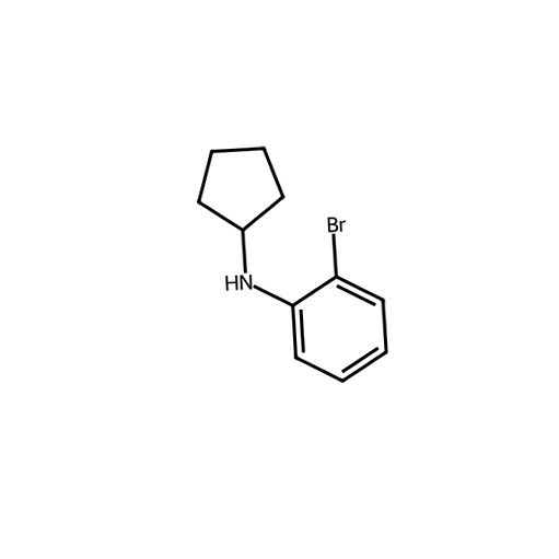 Brc1ccccc1NC1CCCC1